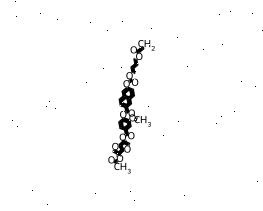 C=CC(=O)OCCCCOC(=O)Oc1ccc2cc(C(=O)Oc3ccc(C(=O)O[C@@H]4COC5C4OC[C@H]5OC(C)=O)cc3OC)ccc2c1